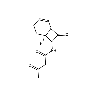 CC(=O)CC(=O)NC1C(=O)N2C=CCS[C@H]12